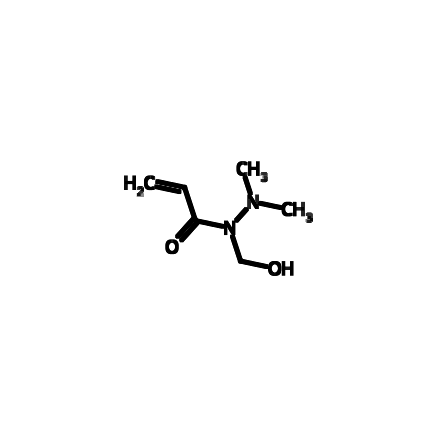 C=CC(=O)N(CO)N(C)C